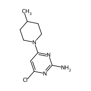 CC1CCN(c2cc(Cl)nc(N)n2)CC1